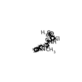 Cc1cc(C(=O)Nc2cc(Cl)cc(S(C)(=O)=O)c2)cn1-c1ccc(N2C3CCC2CC3)cn1